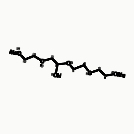 COCCOCCOC(O)COCCOC